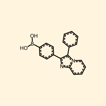 OB(O)c1ccc(-c2nc3ccccn3c2-c2ccccc2)cc1